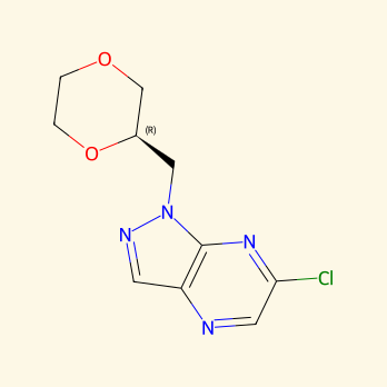 Clc1cnc2cnn(C[C@@H]3COCCO3)c2n1